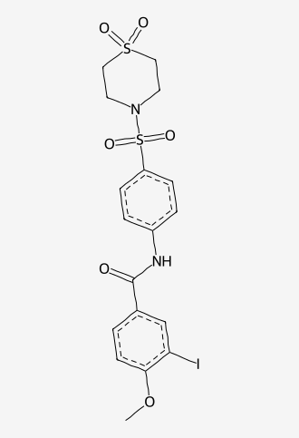 COc1ccc(C(=O)Nc2ccc(S(=O)(=O)N3CCS(=O)(=O)CC3)cc2)cc1I